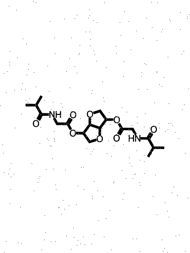 CC(C)C(=O)NCC(=O)OC1COC2C(OC(=O)CNC(=O)C(C)C)COC12